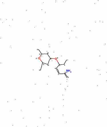 C=C(N)/C=C\C(CC)OC1CC(C)OC(C)C1